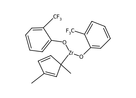 CC1=C[C](C)([Zr]([O]c2ccccc2C(F)(F)F)[O]c2ccccc2C(F)(F)F)C=C1